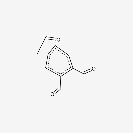 CC=O.O=Cc1ccccc1C=O